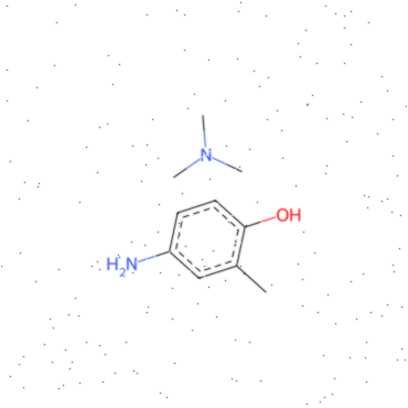 CN(C)C.Cc1cc(N)ccc1O